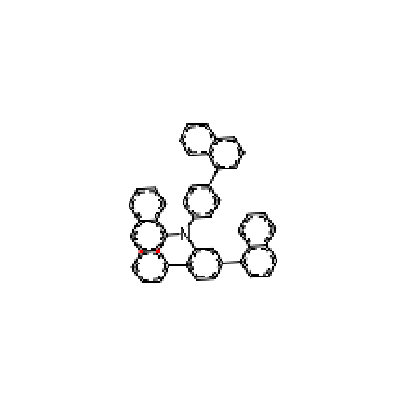 c1ccc(-c2ccc(-c3cccc4ccccc34)cc2N(c2ccc(-c3cccc4ccccc34)cc2)c2cccc3ccccc23)cc1